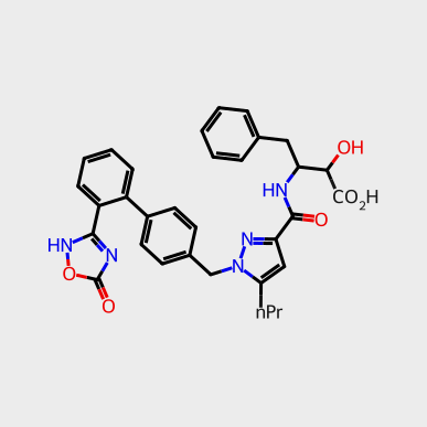 CCCc1cc(C(=O)NC(Cc2ccccc2)C(O)C(=O)O)nn1Cc1ccc(-c2ccccc2-c2nc(=O)o[nH]2)cc1